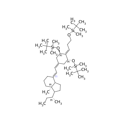 CC[C@@H](C)C1CCC2/C(=C/C=C3C[C@@H](O[Si](C)(C)C(C)(C)C)C(=CCCO[Si](C)(C)C(C)(C)C)[C@H](O[Si](C)(C)C(C)(C)C)C3)CCC[C@@]21C